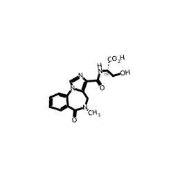 CN1Cc2c(C(=O)N[C@@H](CO)C(=O)O)ncn2-c2ccccc2C1=O